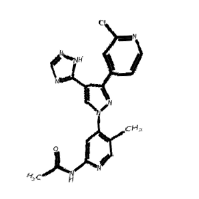 CC(=O)Nc1cc(-n2cc(-c3ncn[nH]3)c(-c3ccnc(Cl)c3)n2)c(C)cn1